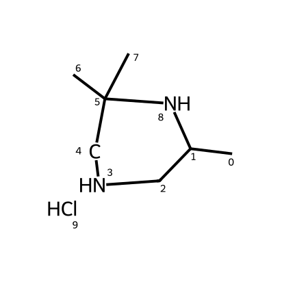 CC1CNCC(C)(C)N1.Cl